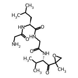 CC(C)C[C@H](NC(=O)CN)C(=O)NCC(=O)N[C@H](C(=O)C1(C)CO1)C(C)C